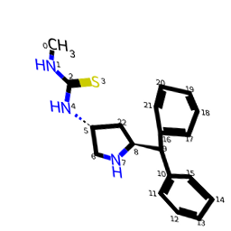 CNC(=S)N[C@H]1CN[C@H](C(c2ccccc2)c2ccccc2)C1